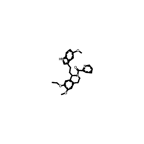 CCOc1cc2c(cc1OC)CCN(C(=O)c1ccccn1)C2CCc1c[nH]c2ccc(OC)cc12